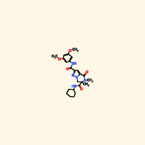 COc1cc(NC(=O)c2cc3n(n2)CC(C)(C(=O)NC2CCCCC2)N(C)C3=O)cc(OC)c1